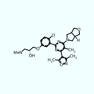 CNC[C@@H](O)COc1ccc(Cl)c(-c2nc(-c3c(C)noc3C)c(C)c(N3CC4COC[C@@H]4C3)n2)c1